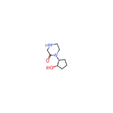 O=C1CNCCN1[C@H]1CCC[C@H]1O